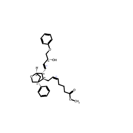 COC(=O)CCC/C=C\C[C@@H]1[C@@H](/C=C/[C@@H](O)COc2ccccc2)[C@H]2C[C@]1(c1ccccc1)CO2